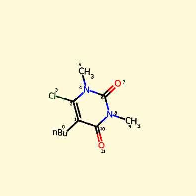 CCCCc1c(Cl)n(C)c(=O)n(C)c1=O